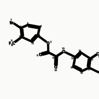 O=C(Oc1ccc(Br)c(C(F)(F)F)c1)C(=O)Oc1ccc(Br)c(C(F)(F)F)c1